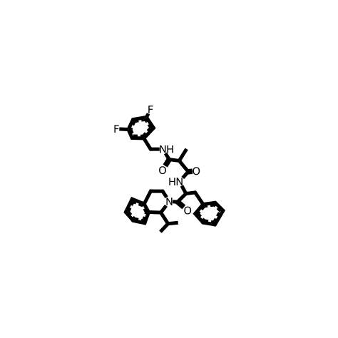 CC(C(=O)NCc1cc(F)cc(F)c1)C(=O)NC(Cc1ccccc1)C(=O)N1CCc2ccccc2C1C(C)C